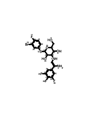 N/C(=C\NC1C(O)C(CO)OC(Sc2ccc(F)c(Br)c2)C1O)c1cc(F)c(F)c(F)c1